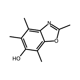 Cc1nc2c(C)c(C)c(O)c(C)c2o1